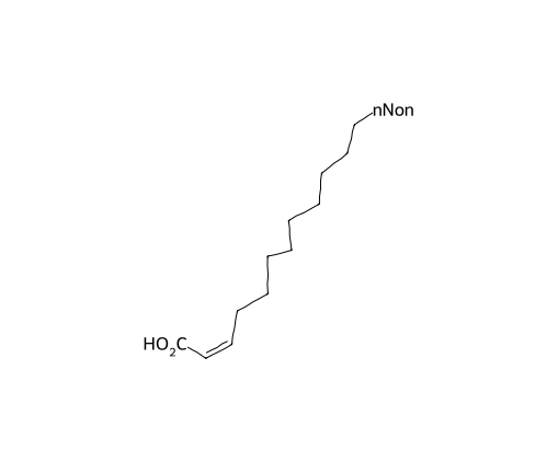 CCCCCCCCCCCCCCCCCC/C=C\C(=O)O